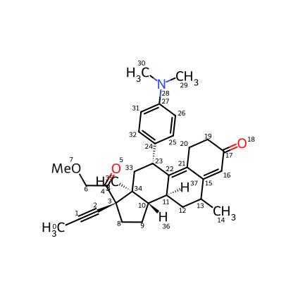 CC#C[C@]1(C(=O)COC)CC[C@H]2[C@@H]3CC(C)C4=CC(=O)CCC4=C3[C@@H](c3ccc(N(C)C)cc3)C[C@@]21C